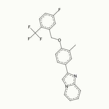 Cc1cc(-c2cn3ccccc3n2)ccc1OCc1cc(F)ccc1C(F)(F)F